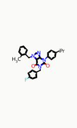 Cc1ccccc1Cn1cnc2c1c(=O)n(Cc1ccc(F)cc1)c(=O)n2-c1ccc(C(C)C)cc1